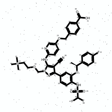 C[C@H](Oc1cc(-c2nn(COCC[Si](C)(C)C)c(Nc3ccc(OCc4ccc(C(=O)O)cc4)cn3)c2C#N)ccc1NS(=O)(=O)C(F)F)c1ccc(F)cc1